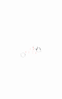 CCC[SiH2]OC(COc1ccccc1)Oc1ccccc1